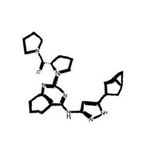 O=C([C@@H]1CCCN1c1nc2c(c(Nc3cc(C4CC5CC5C4)[nH]n3)n1)CCC2)N1CCCC1